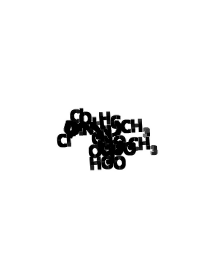 COC(=O)C[C@@]1(C(=O)O)CC(=O)OB([C@H](CC(C)C)NC(=O)CNC(=O)c2cc(Cl)ccc2Cl)O1